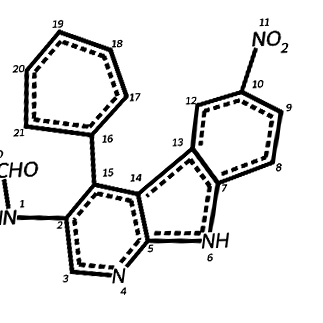 O=CNc1cnc2[nH]c3ccc([N+](=O)[O-])cc3c2c1-c1ccccc1